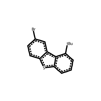 CC(C)(C)c1cccc2sc3ccc(Br)cc3c12